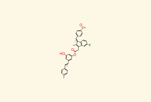 CC1=C(CC(=O)Oc2cc(O)cc(/C=C/c3ccc(C)cc3)c2)c2cc(F)ccc2/C1=C\c1ccc([S+](C)[O-])cc1